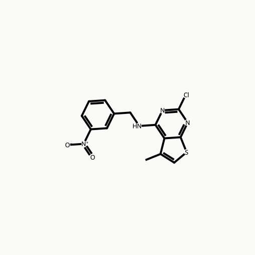 Cc1csc2nc(Cl)nc(NCc3cccc([N+](=O)[O-])c3)c12